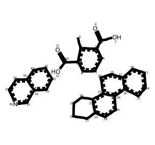 Cc1c(C(=O)O)cccc1C(=O)O.c1ccc2c(c1)ccc1c3c(ccc12)CCCC3.c1ccc2cnccc2c1